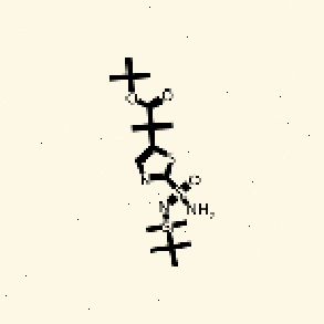 CC(C)(C)OC(=O)C(C)(C)c1cnc(S(N)(=O)=N[Si](C)(C)C(C)(C)C)s1